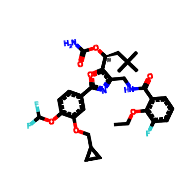 CCOc1c(F)cccc1C(=O)NCc1nc(-c2ccc(OC(F)F)c(OCC3CC3)c2)oc1[C@H](CC(C)(C)C)OC(N)=O